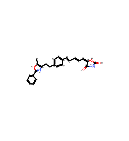 Cc1oc(-c2ccccc2)nc1CCc1ccc(/C=C/C=C/C=C2/OC(=O)NC2=O)cc1